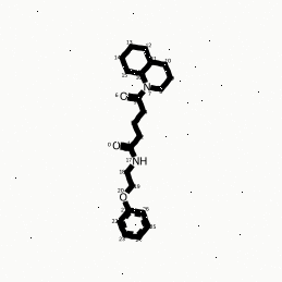 O=C(CCCC(=O)N1CCCC2CCCCC21)NCCOc1ccccc1